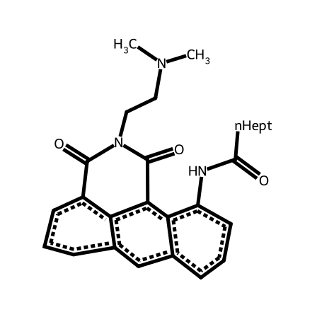 CCCCCCCC(=O)Nc1cccc2cc3cccc4c3c(c12)C(=O)N(CCN(C)C)C4=O